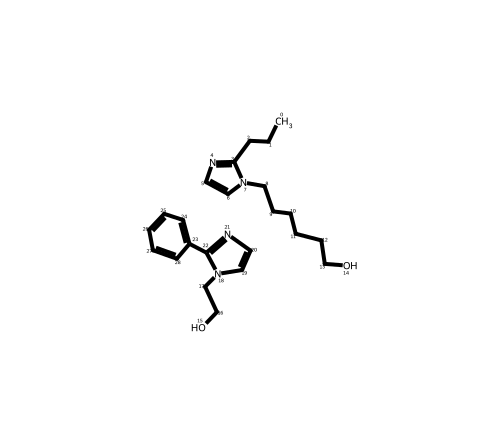 CCCc1nccn1CCCCCCO.OCCn1ccnc1-c1ccccc1